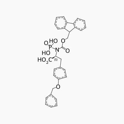 O=C(O)[C@H](Cc1ccc(OCc2ccccc2)cc1)N(C(=O)OCC1c2ccccc2-c2ccccc21)P(=O)(O)O